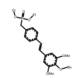 CCOP(=O)(Cc1ccc(/C=C/c2cc(OC)c(OC(C)CC)c(OC)c2)cc1)OCC